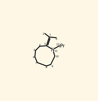 CC(C)=C1CCCCCCCN1C(C)C